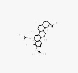 CC(=O)NC[C@@H]1C=C2[C@@](C)(CC[C@@]3(C)[C@@H]4C[C@](C)(C(=O)O)CC[C@]4(C)CC[C@]23C)c2cc3c(c(C)c21)OC(C)(C)O3